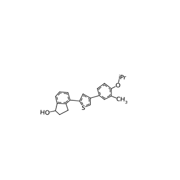 Cc1cc(-c2csc(-c3cccc4c3CCC4O)c2)ccc1OC(C)C